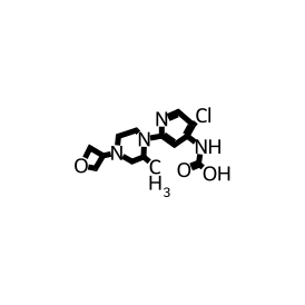 CC1CN(C2COC2)CCN1c1cc(NC(=O)O)c(Cl)cn1